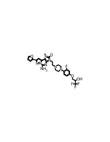 Cn1c(=O)n(CCN2CCN(c3ccc(OCC(O)C(F)(F)F)cc3F)CC2)c2nc(N)n3nc(-c4ccco4)cc3c21